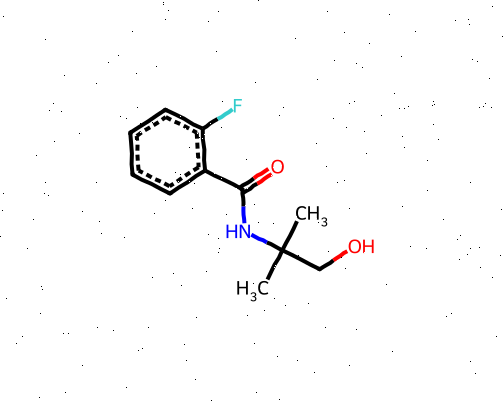 CC(C)(CO)NC(=O)c1ccccc1F